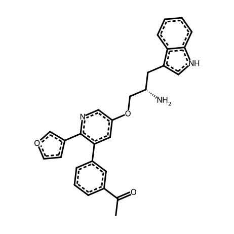 CC(=O)c1cccc(-c2cc(OC[C@@H](N)Cc3c[nH]c4ccccc34)cnc2-c2ccoc2)c1